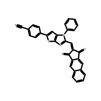 N#Cc1ccc(-c2cc3c(nc(C=C4C(=O)c5cc6ccccc6cc5C4=O)n3-c3ccccc3)s2)cc1